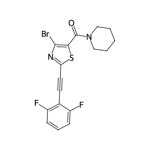 O=C(c1sc(C#Cc2c(F)cccc2F)nc1Br)N1CCCCC1